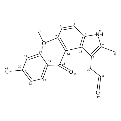 COc1ccc2[nH]c(C)c(CC=O)c2c1C(=O)c1ccc(Cl)cc1